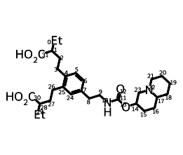 CCC(CCc1ccc(CCNC(=O)OC2CCC3CCCCN3C2)cc1CCC(CC)C(=O)O)C(=O)O